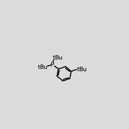 CC(C)(C)c1cccc(P(C(C)(C)C)C(C)(C)C)c1